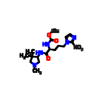 CN1C[C@H](NC(=O)[C@H](CCCn2ccnc2[N+](=O)[O-])NC(=O)OC(C)(C)C)C(C)(C)C1